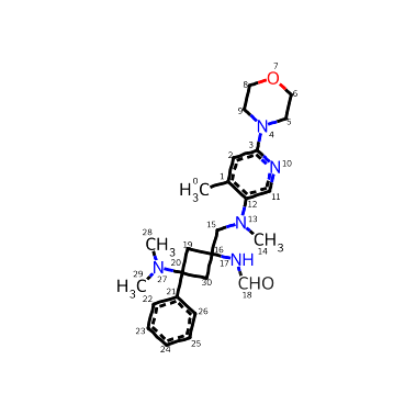 Cc1cc(N2CCOCC2)ncc1N(C)CC1(NC=O)CC(c2ccccc2)(N(C)C)C1